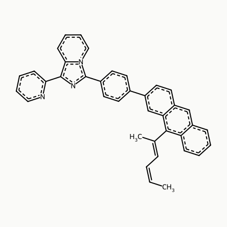 C/C=C\C=C(/C)c1c2ccccc2cc2ccc(-c3ccc(-c4nc(-c5ccccn5)c5ccccn45)cc3)cc12